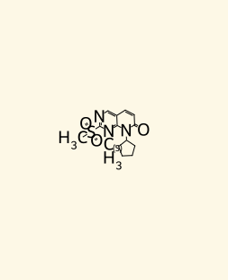 C[C@H]1CCCC1n1c(=O)ccc2cnc(S(C)(=O)=O)nc21